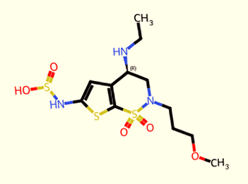 CCN[C@H]1CN(CCCOC)S(=O)(=O)c2sc(NS(=O)O)cc21